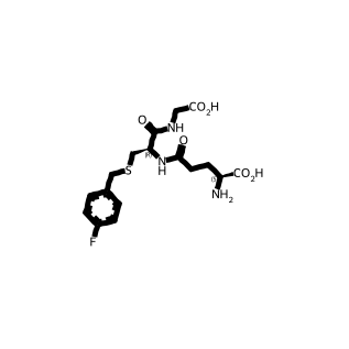 N[C@@H](CCC(=O)N[C@@H](CSCc1ccc(F)cc1)C(=O)NCC(=O)O)C(=O)O